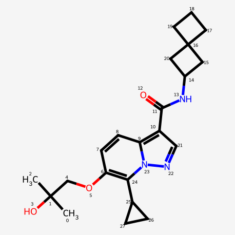 CC(C)(O)COc1ccc2c(C(=O)NC3CC4(CCC4)C3)cnn2c1C1CC1